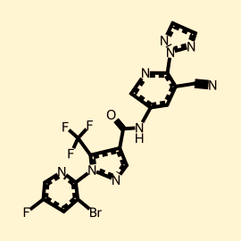 N#Cc1cc(NC(=O)c2cnn(-c3ncc(F)cc3Br)c2C(F)(F)F)cnc1-n1nccn1